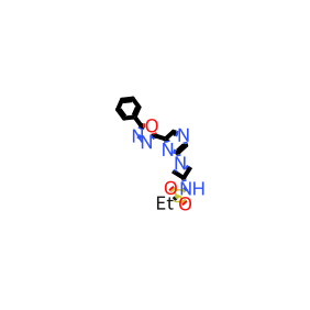 CCS(=O)(=O)NC1CN(c2cncc(-c3nnc(-c4ccccc4)o3)n2)C1